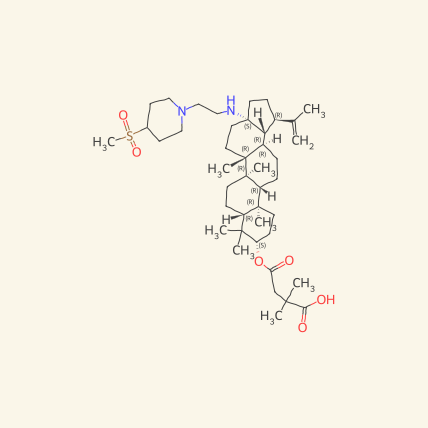 C=C(C)[C@@H]1CC[C@]2(NCCN3CCC(S(C)(=O)=O)CC3)CC[C@]3(C)[C@H](CC[C@@H]4[C@@]5(C)CC[C@H](OC(=O)CC(C)(C)C(=O)O)C(C)(C)[C@@H]5CC[C@]43C)[C@@H]12